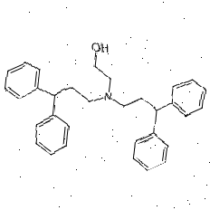 OCCN(CCC(c1ccccc1)c1ccccc1)CCC(c1ccccc1)c1ccccc1